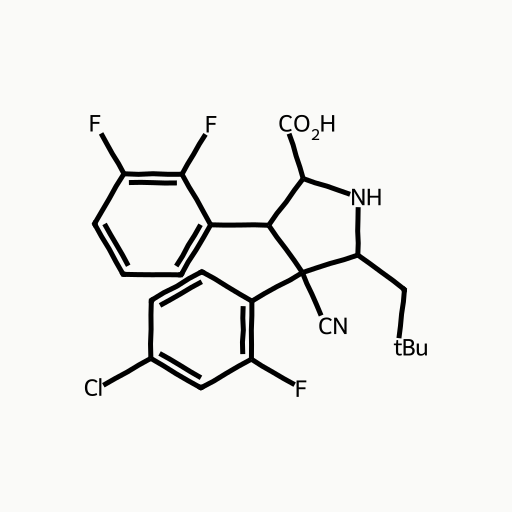 CC(C)(C)CC1NC(C(=O)O)C(c2cccc(F)c2F)C1(C#N)c1ccc(Cl)cc1F